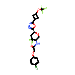 O=C(COc1ccc(Cl)cc1)N[C@@H]1CO[C@@H](c2nnc(C3CC(OC(F)(F)F)C3)o2)CC1(F)F